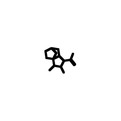 C=C(C)C1C(C)C(C)C23CCC(CC12)C3